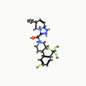 Cc1ccc2nnc(C(=O)N3CCC(c4cc(F)ccc4C(F)(F)F)CC3)n2c1